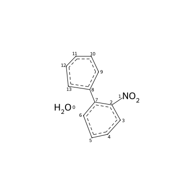 O.O=[N+]([O-])c1ccccc1-c1ccccc1